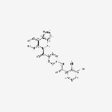 O=C(Nc1ccc(C(=O)N2Cc3cccn3-c3ccccc32)cc1)c1cccc(Cl)c1Cl